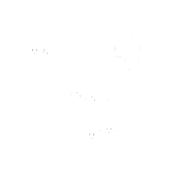 CNCCc1ccc(NC(=O)c2cc(OC)c(OC)cc2NC(=O)c2cc(=O)c(O)co2)cc1.O=C(O)C(F)(F)F